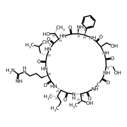 CC[C@H](C)[C@@H]1NC(=O)[C@@H](CCCNC(=N)N)NC(=O)[C@H](CC(C)C)NC(=O)[C@H]([C@@H](C)O)NC(=O)[C@@H](N)[C@@H](c2ccccc2)NC(=O)C(CO)NC(=O)[C@H](CO)NC(=O)CNC(=O)[C@H]([C@H](C)O)NC1=O